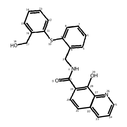 O=C(NCc1ccccc1Sc1ccccc1CO)c1ccc2cccnc2c1O